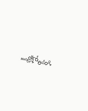 COC(=O)c1ccc2nc(Cc3ccc(-c4cccc(OCc5ccc(C(=O)C6CC6)cc5F)n4)cc3F)n(CC3(CF)CC3)c2c1